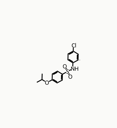 CC(C)Oc1ccc(S(=O)(=O)Nc2[c]cc(Cl)cc2)cc1